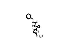 O=C(NC1(c2nc(C(=O)O)co2)CC1)OCC1=CCCC=C1